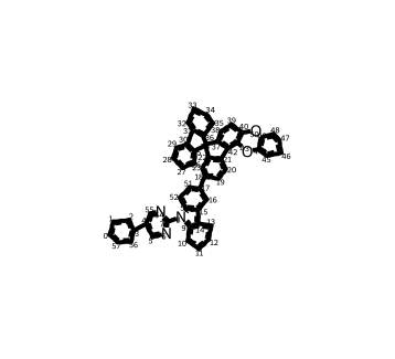 c1ccc(-c2cnc(-n3c4ccccc4c4cc(-c5ccc6c(c5)C5(c7ccccc7-c7ccccc75)c5ccc7c(c5-6)Oc5ccccc5O7)ccc43)nc2)cc1